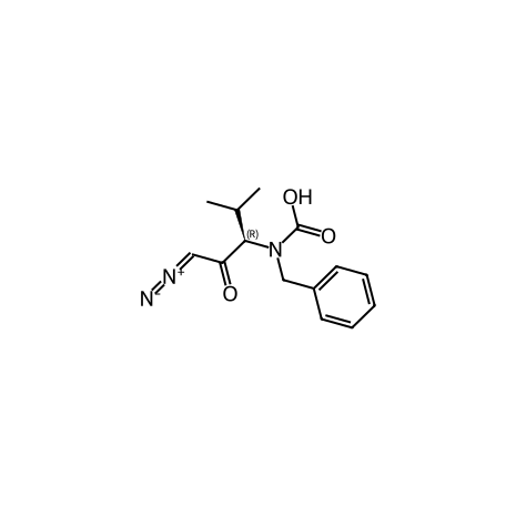 CC(C)[C@H](C(=O)C=[N+]=[N-])N(Cc1ccccc1)C(=O)O